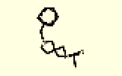 CC(=O)N1CC2(CCN(Cc3ccccc3)C2)C1